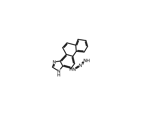 N=[N+]=N.c1ccc2c(c1)ccc1c2ccc2[nH]cnc21